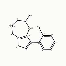 CC1CNCc2scc(-c3ccccc3F)c2O1